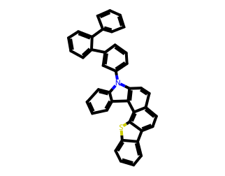 c1ccc(-c2ccccc2-c2cccc(-n3c4ccccc4c4c5c(ccc6c7ccccc7sc65)ccc43)c2)cc1